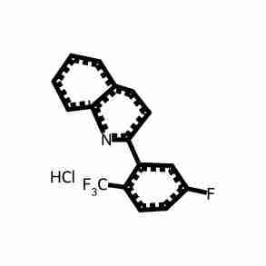 Cl.Fc1ccc(C(F)(F)F)c(-c2ccc3ccccc3n2)c1